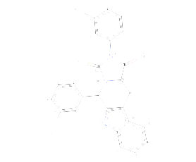 Cc1cccc(N2C(=O)C3Cc4c([nH]c5ccccc45)C(c4cccc(O)c4)N3C2=S)c1